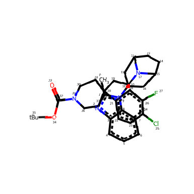 Cc1nc2ccccc2n1C1CC2CCC(C1)N2CCC1(c2ccc(Cl)c(F)c2)CCN(C(=O)OC(C)(C)C)CC1